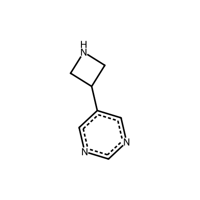 c1ncc(C2CNC2)cn1